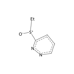 CC[S+]([O-])c1cccnn1